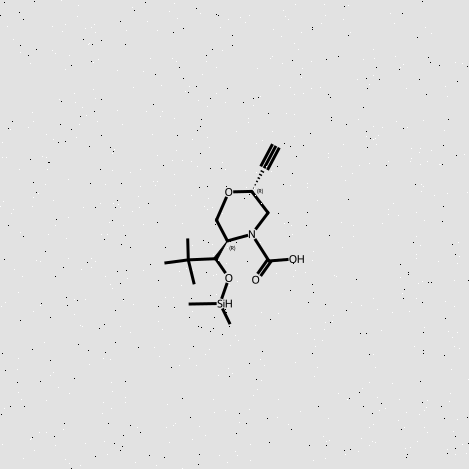 C#C[C@@H]1CN(C(=O)O)[C@@H](C(O[SiH](C)C)C(C)(C)C)CO1